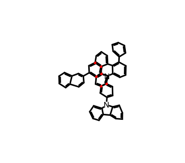 c1ccc(-c2ccccc2-c2c(-c3ccccc3)cccc2N(c2ccc(-n3c4ccccc4c4ccccc43)cc2)c2cccc(-c3ccc4ccccc4c3)c2)cc1